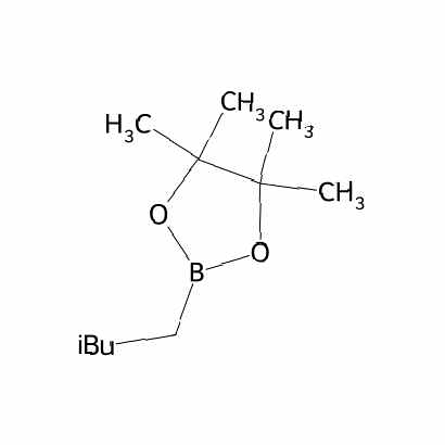 CCC(C)CB1OC(C)(C)C(C)(C)O1